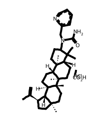 C=C(C)[C@@H]1CC[C@]2(C)CC[C@]3(C)[C@H](CC[C@@H]4[C@@]5(C)CCC(N(Cc6ccccn6)C(N)=O)C(C)(C)[C@@H]5CC[C@]43C)[C@@H]12.CC(=O)O.Cl